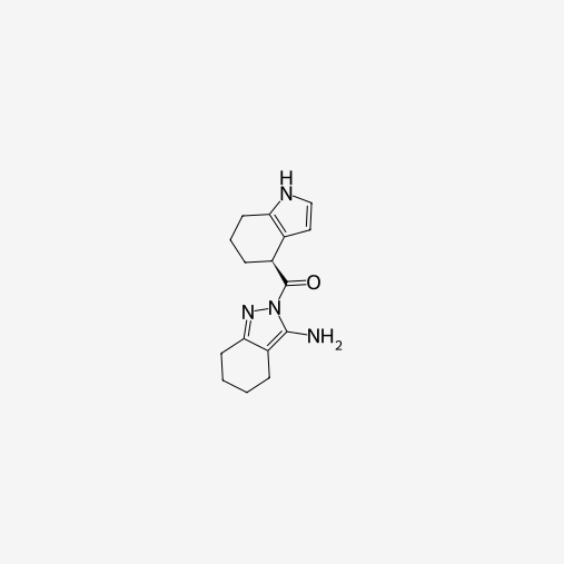 Nc1c2c(nn1C(=O)[C@H]1CCCc3[nH]ccc31)CCCC2